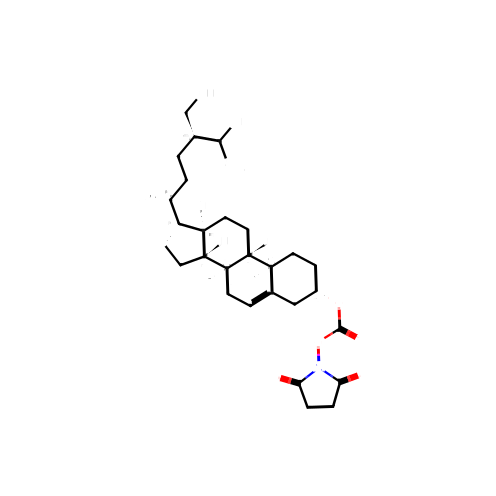 CC[C@H](CC[C@@H](C)[C@H]1CC[C@H]2[C@@H]3CC=C4C[C@@H](OC(=O)ON5C(=O)CCC5=O)CC[C@]4(C)[C@H]3CC[C@]12C)C(C)C